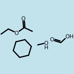 C1CCCCC1.CCOC(C)=O.CO.O=CO